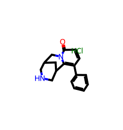 Cl.O=c1ccc(-c2ccccc2)c2n1CC1CNCC2C1